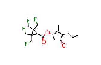 C=CCC1=C(C)C(OC(=O)C2C(CF)(CF)C2(CF)CF)CC1=O